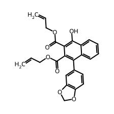 C=CCOC(=O)c1c(C(=O)OCC=C)c(-c2ccc3c(c2)OCO3)c2ccccc2c1O